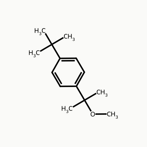 COC(C)(C)c1ccc(C(C)(C)C)cc1